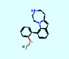 COc1ccccc1-c1cccc2cc3n(c12)CCNCC3